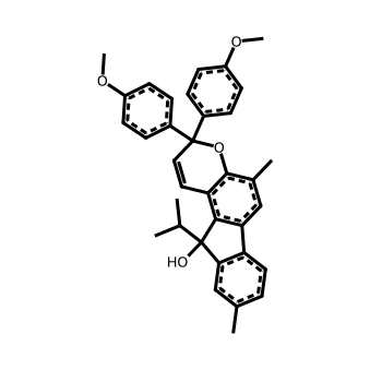 COc1ccc(C2(c3ccc(OC)cc3)C=Cc3c(c(C)cc4c3C(O)(C(C)C)c3cc(C)ccc3-4)O2)cc1